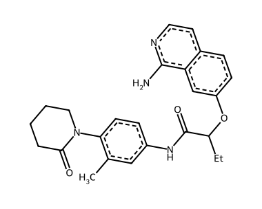 CCC(Oc1ccc2ccnc(N)c2c1)C(=O)Nc1ccc(N2CCCCC2=O)c(C)c1